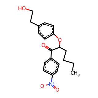 CCCCC(Oc1ccc(CCO)cc1)C(=O)c1ccc([N+](=O)[O-])cc1